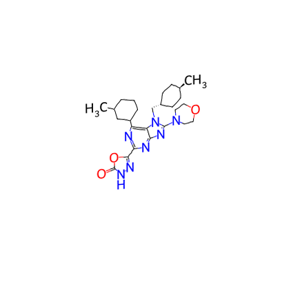 CC1CCCC(c2nc(-c3n[nH]c(=O)o3)nc3nc(N4CCOCC4)n(C[C@H]4CC[C@H](C)CC4)c23)C1